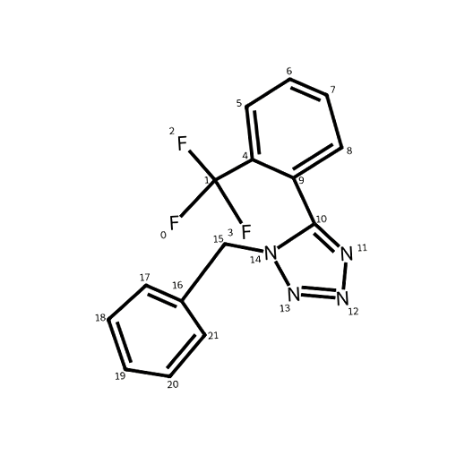 FC(F)(F)c1ccccc1-c1nnnn1Cc1ccccc1